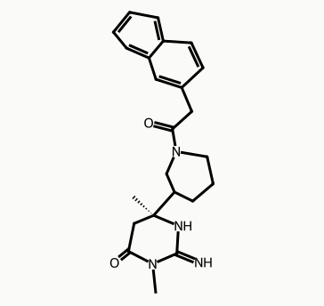 CN1C(=N)N[C@](C)(C2CCCN(C(=O)Cc3ccc4ccccc4c3)C2)CC1=O